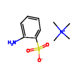 C[N+](C)(C)C.Nc1ccccc1S(=O)(=O)[O-]